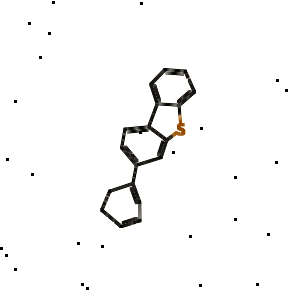 C1=CCCC(c2ccc3c(c2)sc2ccccc23)=C1